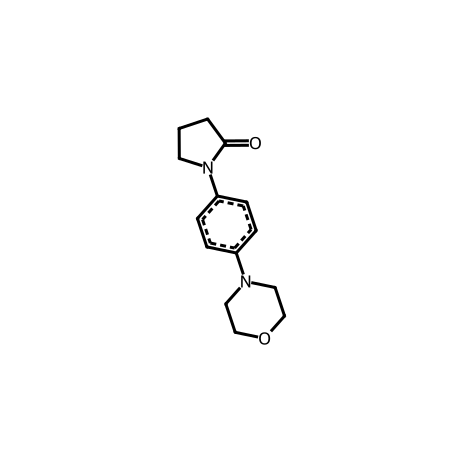 O=C1CCCN1c1ccc(N2CCOCC2)cc1